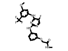 CNC(=O)COc1cccc(Nc2ncc(F)c(Nc3cc(OC)cc(C(F)(F)F)c3)n2)c1